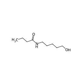 CCCC(=O)NCCCCCO